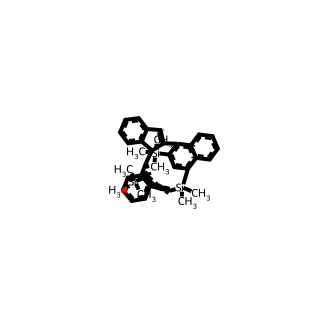 C[Si](C)(C)c1cc2c3ccccc3c1C1=[C]c3ccccc3C1c1c([Si](C)(C)C)cc(c3ccccc13)[Si]2(C)C